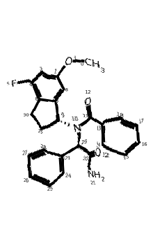 COc1cc(F)c2c(c1)[C@H](N(C(=O)c1ccccc1)[C@@H](C(N)=O)c1ccccc1)CC2